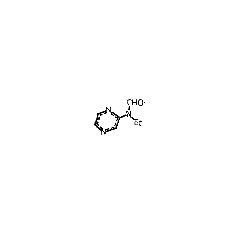 CCN([C]=O)c1cnccn1